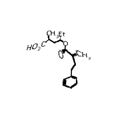 CC[C@@H](C[C@H](C)C(=O)O)OC(=O)C(C)CCc1ccccc1